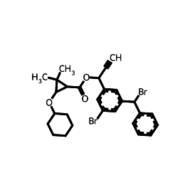 C#CC(OC(=O)C1C(OC2CCCCC2)C1(C)C)c1cc(Br)cc(C(Br)c2ccccc2)c1